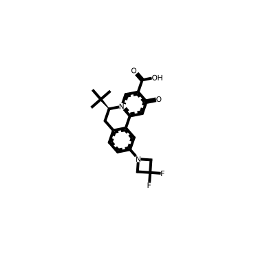 CC(C)(C)[C@@H]1Cc2ccc(N3CC(F)(F)C3)cc2-c2cc(=O)c(C(=O)O)cn21